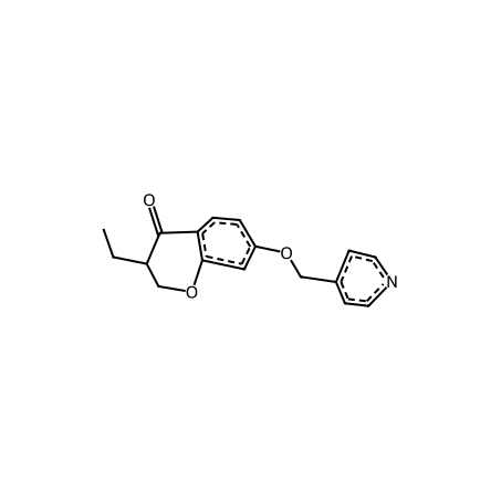 CCC1COc2cc(OCc3ccncc3)ccc2C1=O